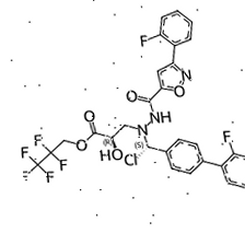 O=C(NN(C[C@@H](O)C(=O)OCC(F)(F)C(F)(F)F)[C@@H](Cl)c1ccc(-c2ccccc2F)cc1)c1cc(-c2ccccc2F)no1